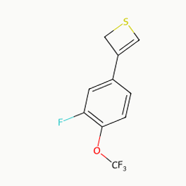 Fc1cc(C2=CSC2)ccc1OC(F)(F)F